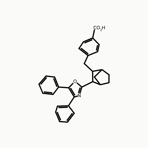 O=C(O)c1ccc(CC2C3CCC(C3)C2c2nc(-c3ccccc3)c(-c3ccccc3)o2)cc1